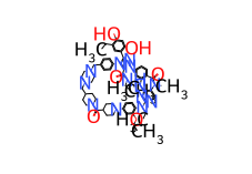 CCNC(=O)c1nnc(-c2cc(CC)c(O)cc2O)n1-c1ccc(CN2CCN(CC3CCN(C(=O)C4CCN(c5ccc(N(CC)c6ncc7c(n6)N(C)c6ccccc6C(=O)N7C)c(OCC)c5)CC4)CC3)CC2)cc1